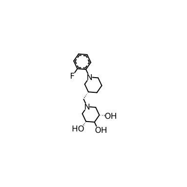 OC1[C@H](O)CN(C[C@H]2CCCN(c3ccccc3F)C2)C[C@@H]1O